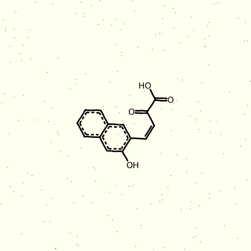 O=C(O)C(=O)/C=C\c1cc2ccccc2cc1O